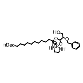 CCCCCCCCCCCCCCCCCCCCC(=O)OC(OP1(=O)NCCN1)C(CO)OCc1ccccc1